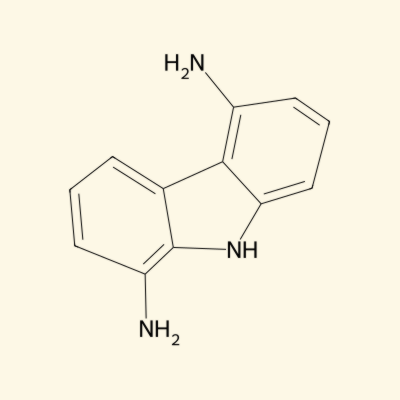 Nc1cccc2c1[nH]c1cccc(N)c12